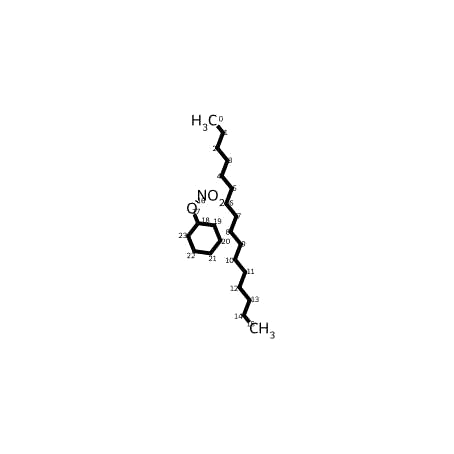 CCCCCCCCCCCCCCCC.O=[N+]([O-])OC1CCCCC1